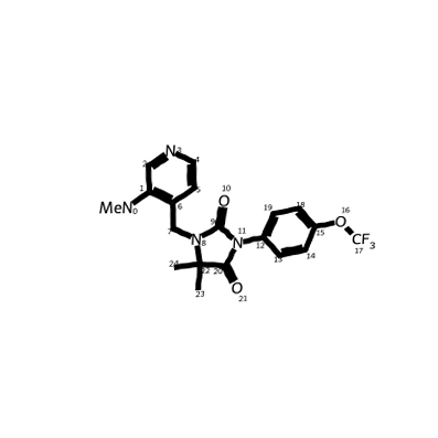 CNc1cnccc1CN1C(=O)N(c2ccc(OC(F)(F)F)cc2)C(=O)C1(C)C